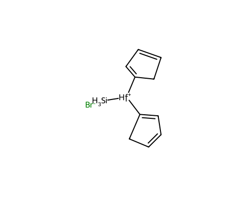 [Br-].[SiH3][Hf+]([C]1=CC=CC1)[C]1=CC=CC1